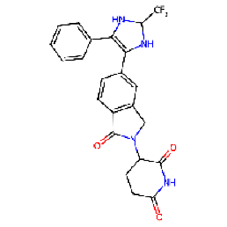 O=C1CCC(N2Cc3cc(C4=C(c5ccccc5)NC(C(F)(F)F)N4)ccc3C2=O)C(=O)N1